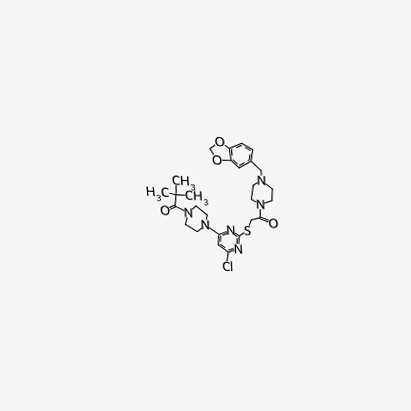 CC(C)(C)C(=O)N1CCN(c2cc(Cl)nc(SCC(=O)N3CCN(Cc4ccc5c(c4)OCO5)CC3)n2)CC1